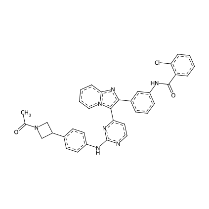 CC(=O)N1CC(c2ccc(Nc3nccc(-c4c(-c5cccc(NC(=O)c6ccccc6Cl)c5)nc5ccccn45)n3)cc2)C1